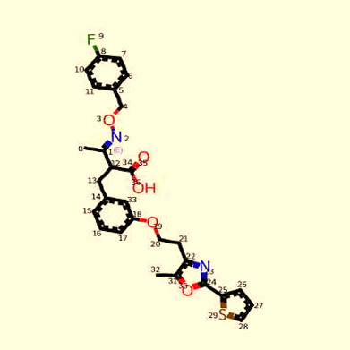 C/C(=N\OCc1ccc(F)cc1)C(Cc1cccc(OCCc2nc(-c3cccs3)oc2C)c1)C(=O)O